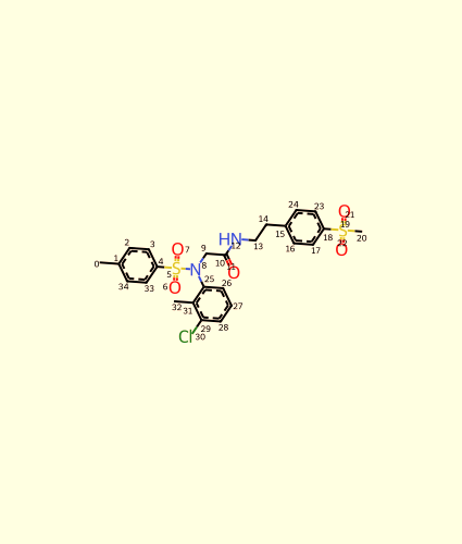 Cc1ccc(S(=O)(=O)N(CC(=O)NCCc2ccc(S(C)(=O)=O)cc2)c2cccc(Cl)c2C)cc1